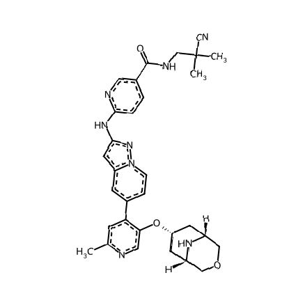 Cc1cc(-c2ccn3nc(Nc4ccc(C(=O)NCC(C)(C)C#N)cn4)cc3c2)c(O[C@H]2C[C@H]3COC[C@@H](C2)N3)cn1